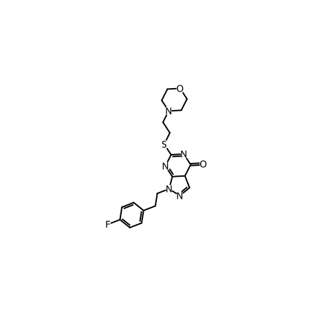 O=C1N=C(SCCN2CCOCC2)N=C2C1C=NN2CCc1ccc(F)cc1